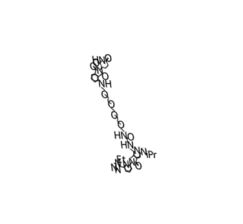 CCn1cnnc1-c1cccc(N2Cc3c(cc(N(C)C(C)C)nc3CNCC(=O)NCCOCCOCCOCCOCCNc3cccc4c3C(=O)N(C3CCC(=O)NC3=O)C4=O)C2=O)n1